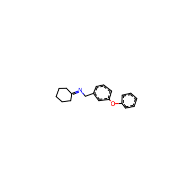 c1ccc(Oc2cccc(CN=C3CCCCC3)c2)cc1